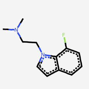 CN(C)CCn1ccc2cccc(F)c21